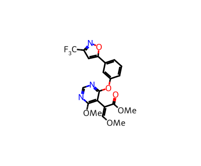 CO/C=C(\C(=O)OC)c1c(OC)ncnc1Oc1cccc(-c2cc(C(F)(F)F)no2)c1